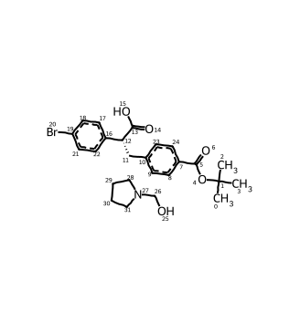 CC(C)(C)OC(=O)c1ccc(C[C@@H](C(=O)O)c2ccc(Br)cc2)cc1.OCN1CCCC1